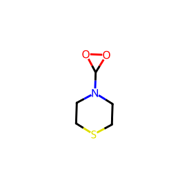 C1CN(C2OO2)CCS1